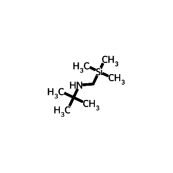 CC(C)(C)NC[Si](C)(C)C